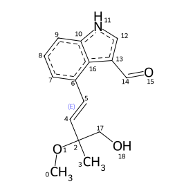 COC(C)(/C=C/c1cccc2[nH]cc(C=O)c12)CO